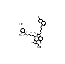 CCOC(=O)c1c(CCCOc2cccc3cc(F)ccc23)c2ccc(Cl)c(-c3c(CO)nn(C)c3CC)c2n1CCCCNS(=O)(=O)c1ccccc1[N+](=O)[O-].Cl